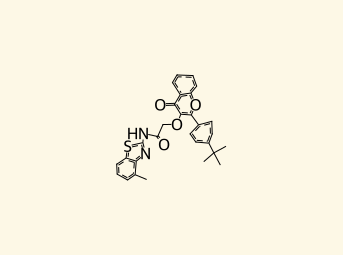 Cc1cccc2sc(NC(=O)COc3c(-c4ccc(C(C)(C)C)cc4)oc4ccccc4c3=O)nc12